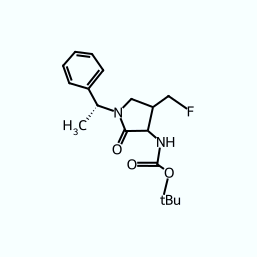 C[C@H](c1ccccc1)N1CC(CF)C(NC(=O)OC(C)(C)C)C1=O